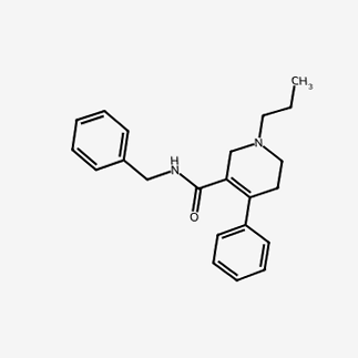 CCCN1CCC(c2ccccc2)=C(C(=O)NCc2ccccc2)C1